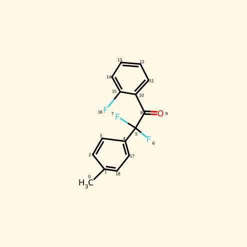 Cc1ccc(C(F)(F)C(=O)c2ccccc2F)cc1